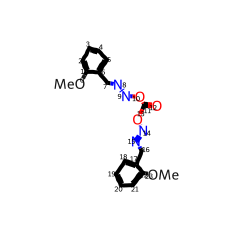 COc1ccccc1CN=NOC(=O)ON=NCc1ccccc1OC